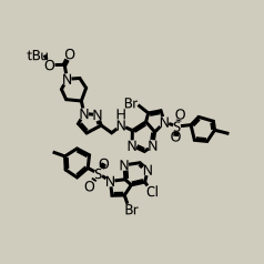 Cc1ccc(S(=O)(=O)n2cc(Br)c3c(Cl)ncnc32)cc1.Cc1ccc(S(=O)(=O)n2cc(Br)c3c(NCc4ccn(C5CCN(C(=O)OC(C)(C)C)CC5)n4)ncnc32)cc1